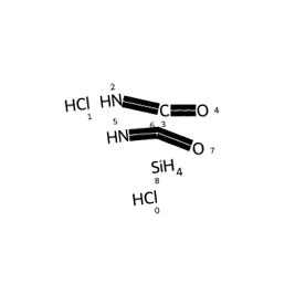 Cl.Cl.N=C=O.N=C=O.[SiH4]